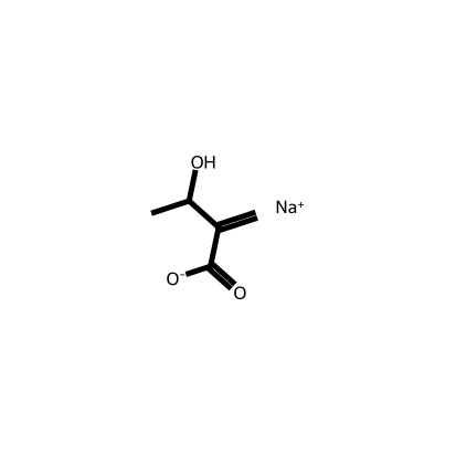 C=C(C(=O)[O-])C(C)O.[Na+]